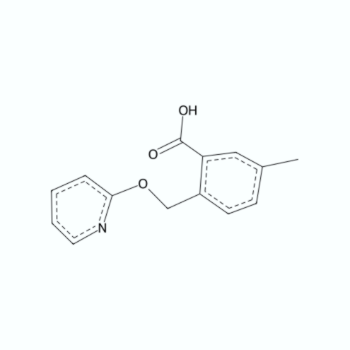 Cc1ccc(COc2ccccn2)c(C(=O)O)c1